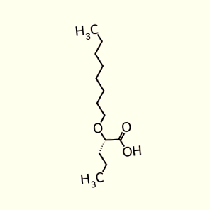 CCCCCCCCO[C@@H](CCC)C(=O)O